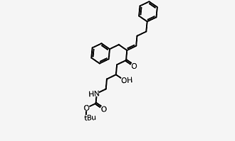 CC(C)(C)OC(=O)NCCC(O)CC(=O)/C(=C/CCc1ccccc1)Cc1ccccc1